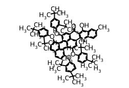 Cc1ccc2nc3c(c(O)c2c1)C(=O)c1cc(Oc2ccc(C(C)(C)C)cc2C(C)(C)C)c2c4c(Oc5ccc(C(C)(C)C)cc5C(C)(C)C)ccc5ccc(Oc6ccc(C(C)(C)C)cc6C(C)(C)C)c(c6c(Oc7ccc(C(C)(C)C)cc7C(C)(C)C)cc-3c1c26)c54